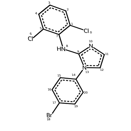 Clc1cccc(Cl)c1Nc1nccn1-c1ccc(Br)cc1